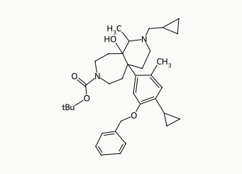 Cc1cc(C2CC2)c(OCc2ccccc2)cc1C12CCN(C(=O)OC(C)(C)C)CCC1(O)C(C)N(CC1CC1)CC2